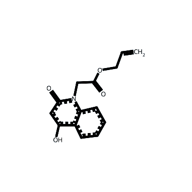 C=CCOC(=O)Cn1c(=O)cc(O)c2ccccc21